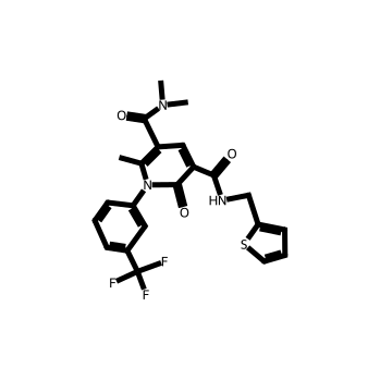 Cc1c(C(=O)N(C)C)cc(C(=O)NCc2cccs2)c(=O)n1-c1cccc(C(F)(F)F)c1